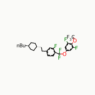 CCCC[C@H]1CC[C@H](CCc2ccc(C(F)(F)Oc3cc(F)c(OC(F)(F)F)c(F)c3)c(F)c2)CC1